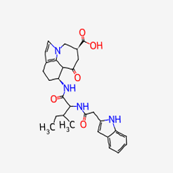 CCC(C)C(NC(=O)Cc1cc2ccccc2[nH]1)C(=O)N[C@H]1CCc2ccn3c2C1C(=O)C[C@H](C(=O)O)C3